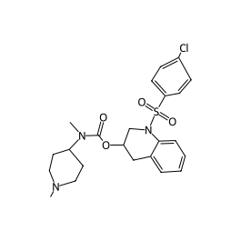 CN1CCC(N(C)C(=O)OC2Cc3ccccc3N(S(=O)(=O)c3ccc(Cl)cc3)C2)CC1